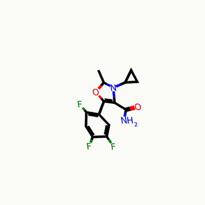 CC1OC(c2cc(F)c(F)cc2F)=C(C(N)=O)N1C1CC1